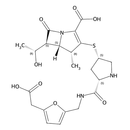 C[C@@H](O)[C@H]1C(=O)N2C(C(=O)O)=C(S[C@@H]3CN[C@H](C(=O)NCc4ccc(CC(=O)O)o4)C3)[C@H](C)[C@H]12